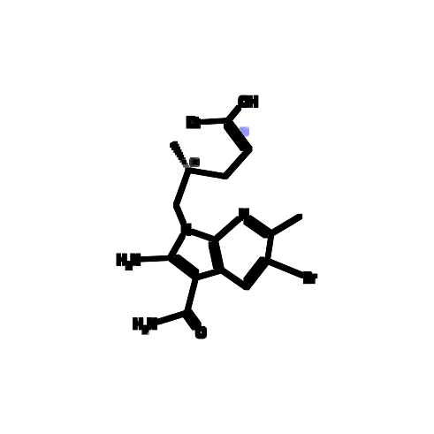 CC/C(O)=C\C[C@@H](C)Cn1c(N)c(C(N)=O)c2cc(Br)c(C)nc21